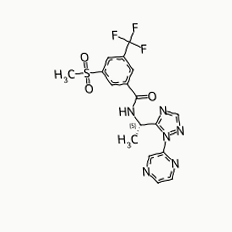 C[C@H](NC(=O)c1cc(C(F)(F)F)cc(S(C)(=O)=O)c1)c1ncnn1-c1cnccn1